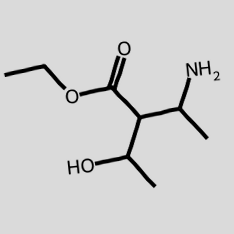 CCOC(=O)C(C(C)N)C(C)O